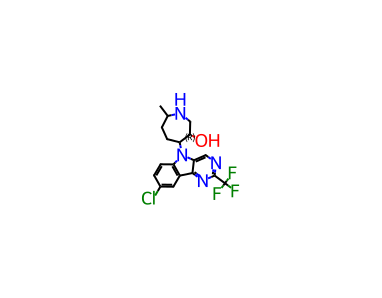 CC1CCC(n2c3ccc(Cl)cc3c3nc(C(F)(F)F)ncc32)[C@H](O)CN1